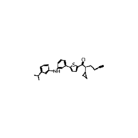 C#CCCC(C(=O)c1ccc(-c2cccc(Nc3cccc(C(C)C)c3)c2)s1)C1CC1